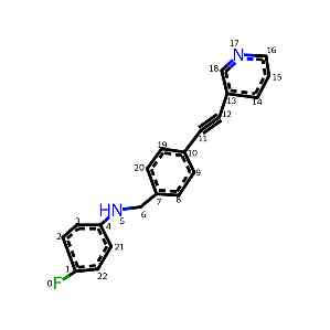 Fc1ccc(NCc2ccc(C#Cc3cccnc3)cc2)cc1